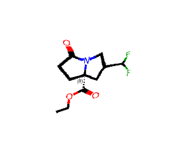 CCOC(=O)[C@]12CCC(=O)N1CC(C(F)F)C2